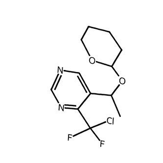 CC(OC1CCCCO1)c1cncnc1C(F)(F)Cl